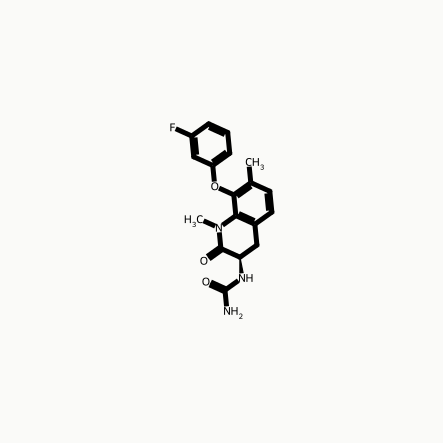 Cc1ccc2c(c1Oc1cccc(F)c1)N(C)C(=O)[C@H](NC(N)=O)C2